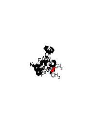 C#Cc1c(F)ccc2cc(C#N)cc(-c3ncc4c(N5CCCC(C)(C#N)C(N(C)C(=O)C=C)C5)nc(OCC56CCCN5CCC6)nc4c3F)c12